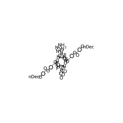 CCCCCCCCCCOc1ccc(C(=O)Oc2ccc(CSP3(=O)OC[C@H]4O[C@@H](n5cnc6c(N)ncnc65)C(F)[C@H]4OP(=O)(SCc4ccc(OC(=O)c5ccc(OCCCCCCCCCC)cc5)cc4)OC[C@H]4O[C@@H](n5ccc(=O)oc5=O)C(F)[C@H]4O3)cc2)cc1